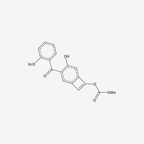 COC(=O)OC1=Cc2cc(C(=O)c3ccccc3OC(C)=O)c(O)cc21